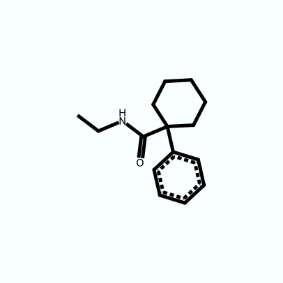 CCNC(=O)C1(c2ccccc2)CCCCC1